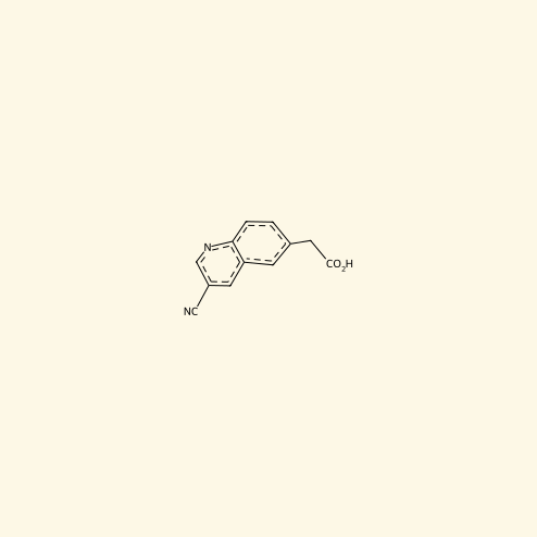 N#Cc1cnc2ccc(CC(=O)O)cc2c1